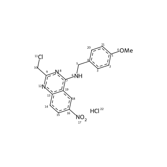 COc1ccc(CNc2nc(CCl)nc3ccc([N+](=O)[O-])cc23)cc1.Cl